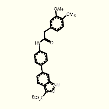 CCOC(=O)c1n[nH]c2cc(-c3ccc(NC(=O)Cc4ccc(OC)c(OC)c4)cc3)ccc12